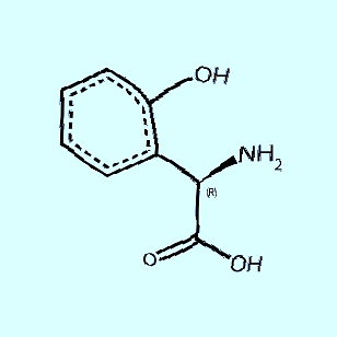 N[C@@H](C(=O)O)c1ccccc1O